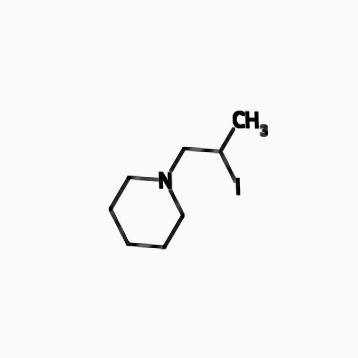 CC(I)CN1CCCCC1